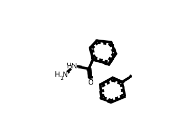 Cc1ccccc1.NNC(=O)c1ccccc1